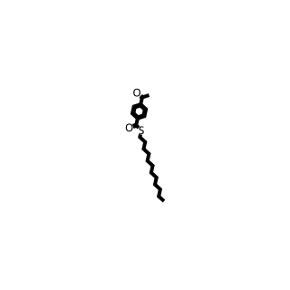 CCCCCCCCCCCCSC(=O)c1ccc(C(C)=O)cc1